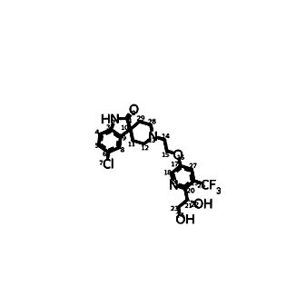 O=C1Nc2ccc(Cl)cc2C12CCN(CCOc1cnc([C@H](O)CO)c(C(F)(F)F)c1)CC2